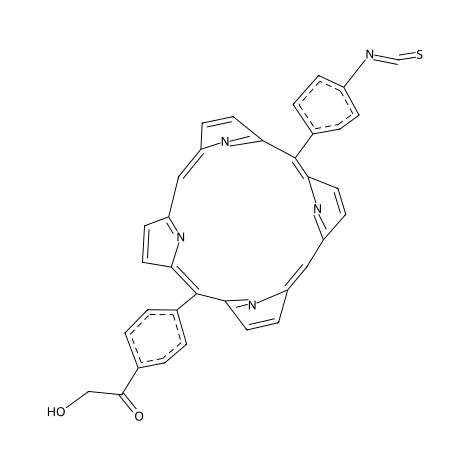 O=C(CO)c1ccc(C2=C3C=CC(=N3)C=C3C=CC(=N3)C(c3ccc(N=C=S)cc3)=C3C=CC(=N3)C=C3C=CC2=N3)cc1